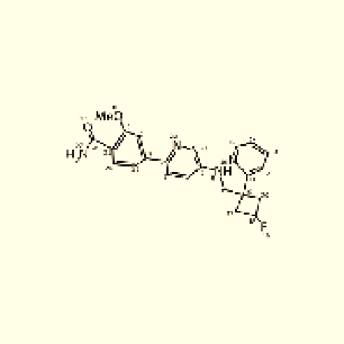 COc1cc(-c2ccc(NCC3(c4ccccn4)CC(F)C3)nn2)ccc1C(N)=O